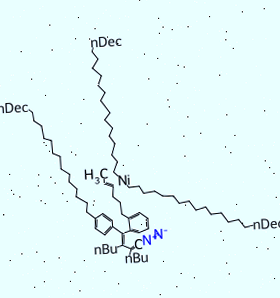 CC=CCCCc1ccccc1C(=C(CCCC)C(=C=[N+]=[N-])CCCC)c1ccc(CCCCCCCCCCCCCCCCCCCCCCCC)cc1.CCCCCCCCCCCCCCCCCCCCCCCC[CH2][Ni][CH2]CCCCCCCCCCCCCCCCCCCCCCCC